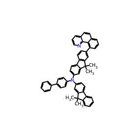 CC1(C)c2ccccc2-c2ccc(N(c3ccc(-c4ccccc4)cc3)c3ccc4c(c3)C(C)(C)c3cc(-c5cccc6ccc7cccnc7c56)ccc3-4)cc21